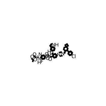 CC1COC[C@H](CNc2c(F)cc(S(=O)(=O)NC(=O)c3ccc(N4CCN(CC5=C(c6ccc(Cl)cc6)CC6(CCC6)CC5)CC4)cc3Oc3ccc4[nH]ccc4c3)cc2[N+](=O)[O-])O1